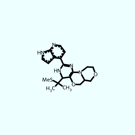 CSC(C)(C)C1NC(c2ccnc3[nH]ccc23)=NC2=C1OCC1COCCN21